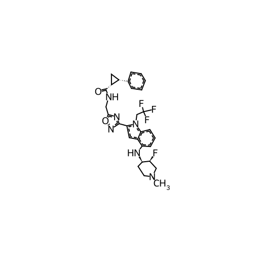 CN1CC[C@@H](Nc2cccc3c2cc(-c2noc(CNC(=O)[C@@H]4C[C@@H]4c4ccccc4)n2)n3CC(F)(F)F)[C@@H](F)C1